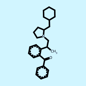 CC(CN1CCCC1CC1CCCCC1)c1ccccc1C(=O)c1ccccc1